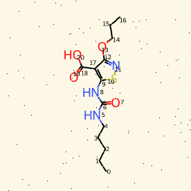 CCCCCNC(=O)Nc1snc(OCCC)c1C(=O)O